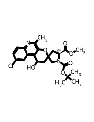 COC(=O)[C@@H]1CC2(CC(O)c3c(c(C)nc4ccc(Cl)cc34)O2)CN1C(=O)OC(C)(C)C